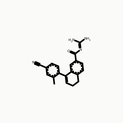 Cc1cc(C#N)ccc1C1=CCCc2ccc(C(=O)N=C(N)N)cc21